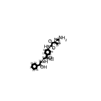 Cl.Cl.Nc1nc(C(=O)C(=O)Nc2ccc(CCNCC(O)c3ccccc3)cc2)cs1